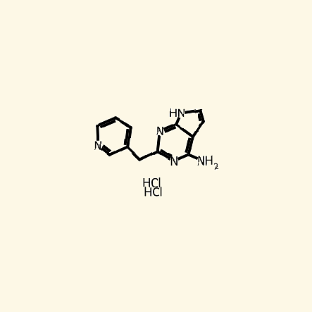 Cl.Cl.Nc1nc(Cc2cccnc2)nc2[nH]ccc12